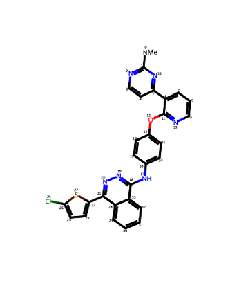 CNc1nccc(-c2cccnc2Oc2ccc(Nc3nnc(-c4ccc(Cl)s4)c4ccccc34)cc2)n1